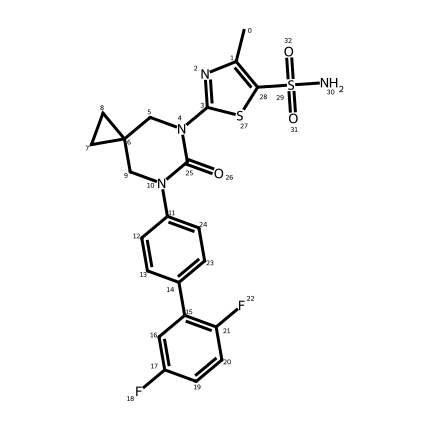 Cc1nc(N2CC3(CC3)CN(c3ccc(-c4cc(F)ccc4F)cc3)C2=O)sc1S(N)(=O)=O